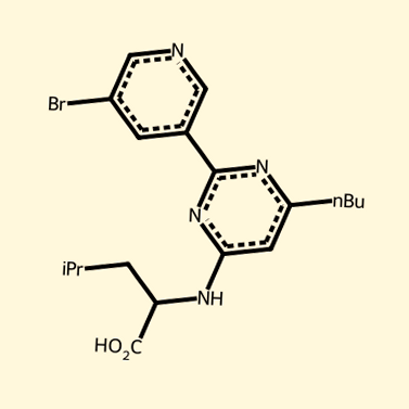 CCCCc1cc(NC(CC(C)C)C(=O)O)nc(-c2cncc(Br)c2)n1